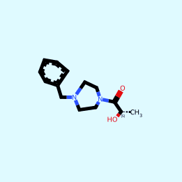 C[C@H](O)C(=O)N1CCN(Cc2ccccc2)CC1